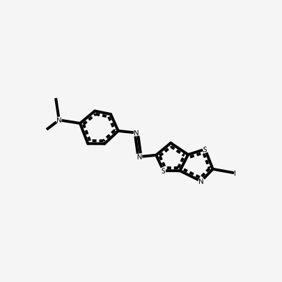 CN(C)c1ccc(N=Nc2cc3sc(I)nc3s2)cc1